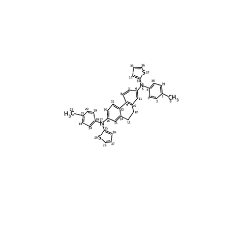 Cc1ccc(N(c2ccc3c(c2)CCc2cc(N(c4ccc(C)cc4)c4cccs4)ccc2-3)c2cccs2)cc1